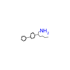 CCCCC(CN)c1ccc(-c2ccccc2)cc1